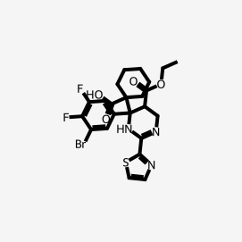 CCOC(=O)C1CN=C(c2nccs2)NC1(c1cc(F)c(F)c(Br)c1)C1(C(=O)O)CCCCC1